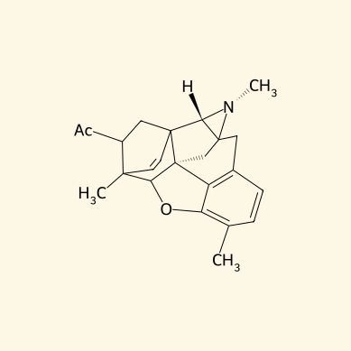 CC(=O)C1CC23C=CC1(C)C1Oc4c(C)ccc5c4[C@@]12CC1(C5)[C@H]3[N@]1C